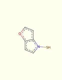 Sn1ccc2occc21